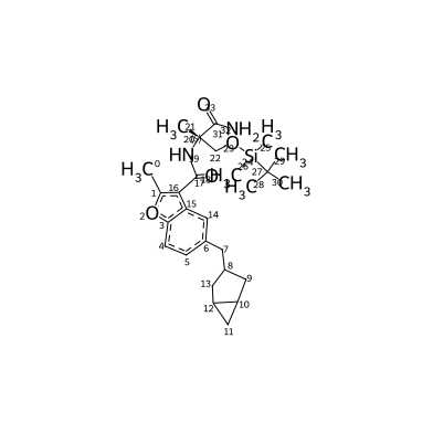 Cc1oc2ccc(CC3CC4CC4C3)cc2c1C(=O)N[C@@](C)(CO[Si](C)(C)C(C)(C)C)C(N)=O